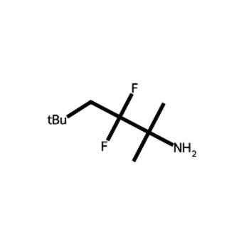 CC(C)(C)CC(F)(F)C(C)(C)N